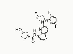 O=C(Nc1ccnc2ccc(N3C[C@@H](F)C[C@@H]3c3cc(F)ccc3F)nc12)N1CCC(O)C1